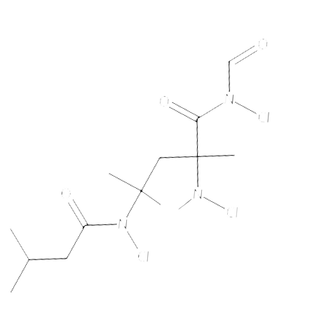 CC(C)CC(=O)N(Cl)C(C)(C)CC(C)(C(=O)N(Cl)C=O)N(C)Cl